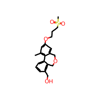 Cc1cc(OCCCS(C)(=O)=O)cc2c1-c1cccc(CO)c1COC2